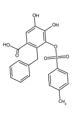 Cc1ccc(S(=O)(=O)Oc2c(O)c(O)cc(C(=O)O)c2Cc2ccccc2)cc1